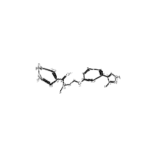 Cc1n[nH]cc1-c1c[c]cc(OCCN(C)C(=O)c2cn[nH]c2)c1